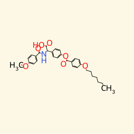 CCCCCCCOc1ccc(C(=O)Oc2ccc(C(NC(=O)c3ccc(OC)cc3)C(=O)O)cc2)cc1